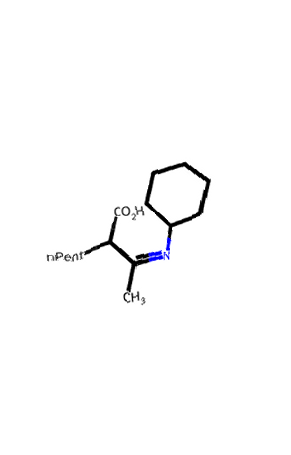 CCCCCC(C(=O)O)C(C)=NC1CCCCC1